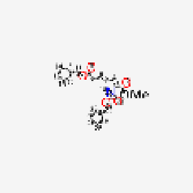 COC(=O)[C@@H]1CC(C=CC(=O)OCc2ccccc2)CN1C(=O)OCc1ccccc1